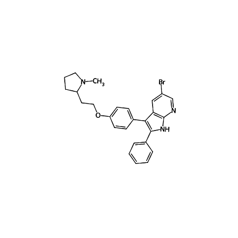 CN1CCCC1CCOc1ccc(-c2c(-c3ccccc3)[nH]c3ncc(Br)cc23)cc1